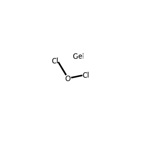 ClOCl.[Ge]